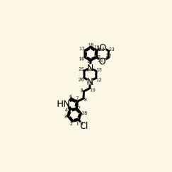 Clc1ccc2[nH]cc(CCCN3CCN(c4cccc5c4OCCO5)CC3)c2c1